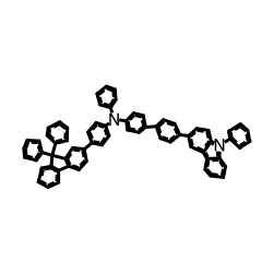 c1ccc(N(c2ccc(-c3ccc(-c4ccc5c(c4)c4ccccc4n5-c4ccccc4)cc3)cc2)c2ccc(-c3ccc4c(c3)C(c3ccccc3)(c3ccccc3)c3ccccc3-4)cc2)cc1